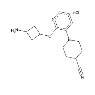 Cl.N#CC1CCN(c2cccnc2OC2CC(N)C2)CC1